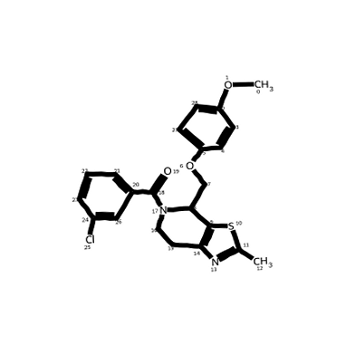 COc1ccc(OCC2c3sc(C)nc3CCN2C(=O)c2cccc(Cl)c2)cc1